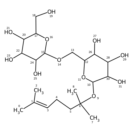 CC(C)=CCCC(C)(C)OC1OC(COC2OC(CO)C(O)C(O)C2O)C(O)C(O)C1O